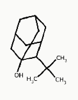 CC(C)(C)C1C2CC3CC(C2)CC1(O)C3